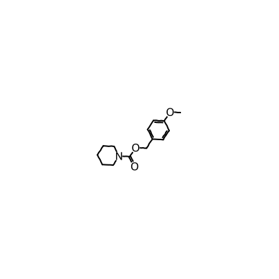 COc1ccc(COC(=O)N2CCCCC2)cc1